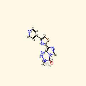 Cn1nnc2c(-c3nc(-c4ccncc4)cs3)ncn2c1=O